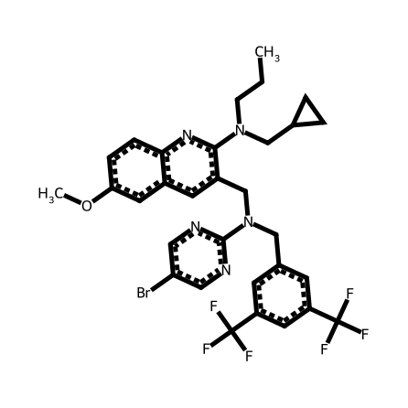 CCCN(CC1CC1)c1nc2ccc(OC)cc2cc1CN(Cc1cc(C(F)(F)F)cc(C(F)(F)F)c1)c1ncc(Br)cn1